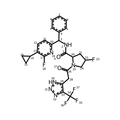 O=C(NC(c1ccccc1)c1ccc(C2CC2)c(F)n1)C1CC(F)CN1C(=O)Cc1[nH]nnc1C(F)(F)F